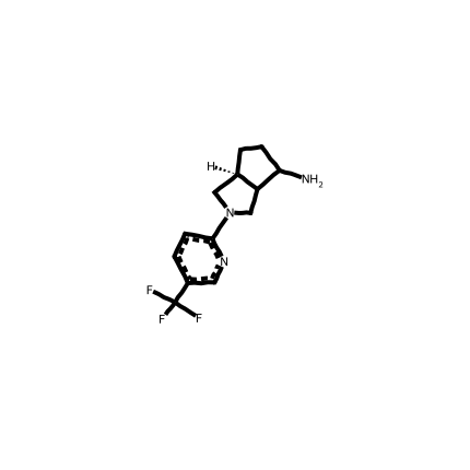 NC1CC[C@@H]2CN(c3ccc(C(F)(F)F)cn3)CC12